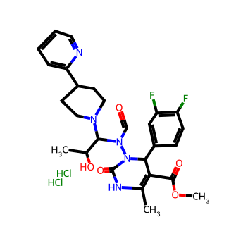 COC(=O)C1=C(C)NC(=O)N(N(C=O)C(C(C)O)N2CCC(c3ccccn3)CC2)C1c1ccc(F)c(F)c1.Cl.Cl